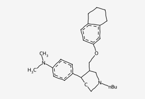 CCCCN1CCC(c2ccc(N(C)C)cc2)C(COc2ccc3c(c2)CCCC3)C1